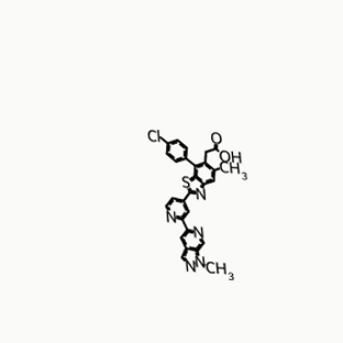 Cc1cc2nc(-c3ccnc(-c4cc5cnn(C)c5cn4)c3)sc2c(-c2ccc(Cl)cc2)c1CC(=O)O